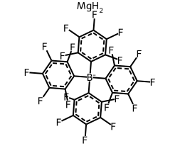 Fc1c(F)c(F)c([B-](c2c(F)c(F)c(F)c(F)c2F)(c2c(F)c(F)c(F)c(F)c2F)c2c(F)c(F)c(F)c(F)c2F)c(F)c1F.[MgH2]